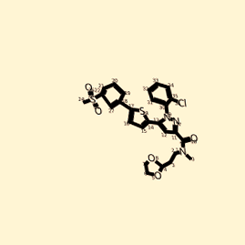 CN(CCC1OCCO1)C(=O)c1cc(-c2ccc(-c3cccc(S(C)(=O)=O)c3)s2)n(-c2ccccc2Cl)n1